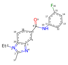 CCn1c(C)nc2cc(C(=O)Nc3cccc(F)c3)ccc21